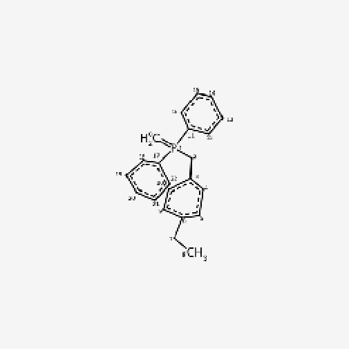 C=P(Cc1ccc(CC)cc1)(c1ccccc1)c1ccccc1